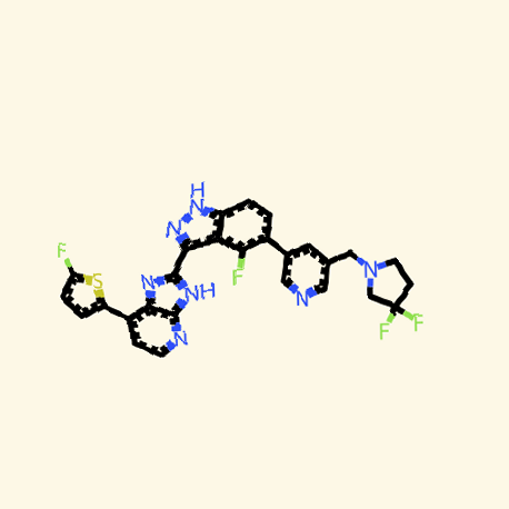 Fc1ccc(-c2ccnc3[nH]c(-c4n[nH]c5ccc(-c6cncc(CN7CCC(F)(F)C7)c6)c(F)c45)nc23)s1